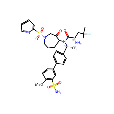 COc1ccc(-c2ccc([C@H](N(C(=O)[C@@H](N)CC(C)(C)F)C3CCCN(S(=O)(=O)c4ccccn4)CC3=O)C(F)(F)F)cc2)cc1S(N)(=O)=O